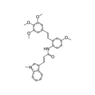 COc1ccc(NC(=O)/C=C/c2cn(C)c3ccccc23)c(/C=C/c2cc(OC)c(OC)c(OC)c2)c1